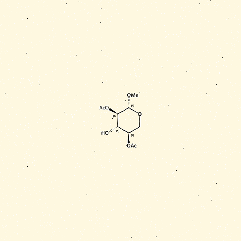 CO[C@@H]1OC[C@@H](OC(C)=O)[C@H](O)[C@H]1OC(C)=O